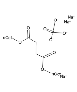 CCCCCCCCOC(=O)CCC(=O)OCCCCCCCC.O=P([O-])([O-])[O-].[Na+].[Na+].[Na+]